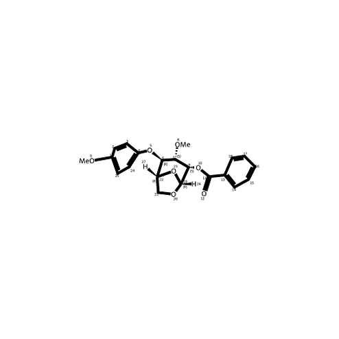 COc1ccc(O[C@H]2[C@H](OC)[C@H](OC(=O)c3ccccc3)[C@@H]3OC[C@H]2O3)cc1